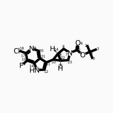 CC(C)(C)OC(=O)N1C[C@@H]2C(c3c[nH]c4c(F)c(Cl)ncc34)[C@@H]2C1